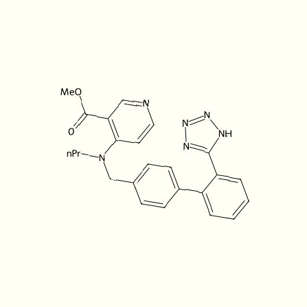 CCCN(Cc1ccc(-c2ccccc2-c2nnn[nH]2)cc1)c1ccncc1C(=O)OC